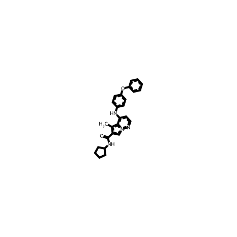 Cc1c(C(=O)NC2CCCC2)cn2nccc(Nc3ccc(Oc4ccccc4)cc3)c12